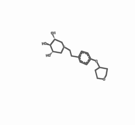 O[C@H]1[C@H](O)CN(CCc2ccc(OC3CCOCC3)cc2)C[C@@H]1O